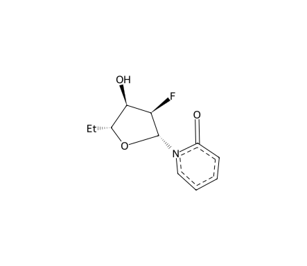 CC[C@H]1O[C@@H](n2ccccc2=O)[C@H](F)[C@@H]1O